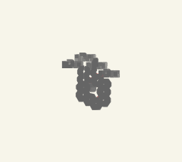 CCCCCCCCCCCCCCc1cc2ccc3cc4ccccc4cc3c2c(Oc2c(CCCCCCCCCCCCCC)c(CCCCCCCCCCCCCC)cc3ccc4cc5ccccc5cc4c23)c1CCCCCCCCCCCCCC